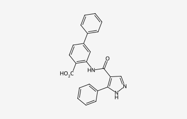 O=C(O)c1ccc(-c2ccccc2)cc1NC(=O)c1cn[nH]c1-c1ccccc1